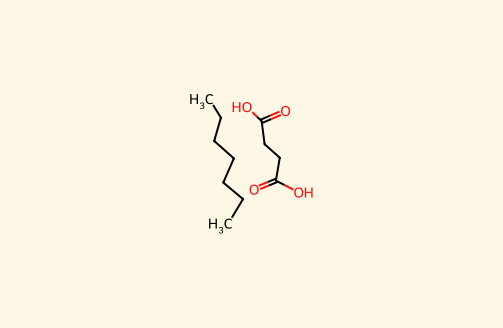 CCCCCCC.O=C(O)CCC(=O)O